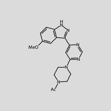 COc1ccc2[nH]nc(-c3cc(N4CCN(C(C)=O)CC4)ncn3)c2c1